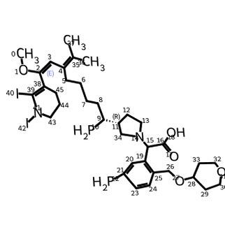 CO/C(=C/C(CCCCC(P)[C@@H]1CCN(C(C(=O)O)c2cc(P)ccc2COC2CCOCC2)C1)=C(C)C)C1=C(I)N(I)CCC1